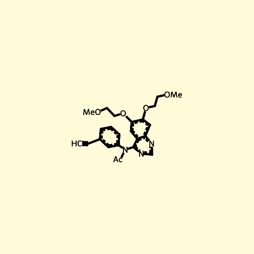 C#Cc1cccc(N(C(C)=O)c2ncnc3cc(OCCOC)c(OCCOC)cc23)c1